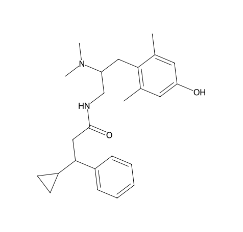 Cc1cc(O)cc(C)c1CC(CNC(=O)CC(c1ccccc1)C1CC1)N(C)C